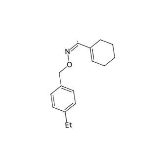 CCc1ccc(CO/N=[C]\C2=CCCCC2)cc1